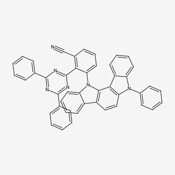 N#Cc1cccc(-n2c3ccccc3c3ccc4c(c5ccccc5n4-c4ccccc4)c32)c1-c1nc(-c2ccccc2)nc(-c2ccccc2)n1